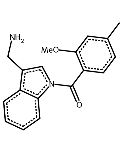 COc1cc(C)ccc1C(=O)n1cc(CN)c2ccccc21